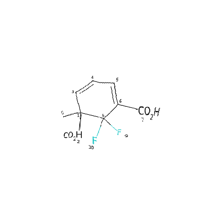 CC1(C(=O)O)C=CC=C(C(=O)O)C1(F)F